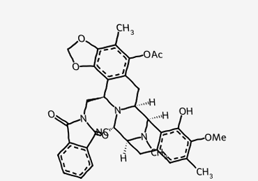 COc1c(C)cc2c(c1O)[C@@H]1[C@@H]3Cc4c(OC(C)=O)c(C)c5c(c4[C@H](CN4C(=O)c6ccccc6C4=O)N3[C@@H](C#N)[C@H](C2)N1C)OCO5